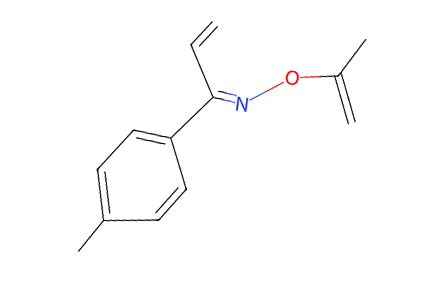 C=C/C(=N\OC(=C)C)c1ccc(C)cc1